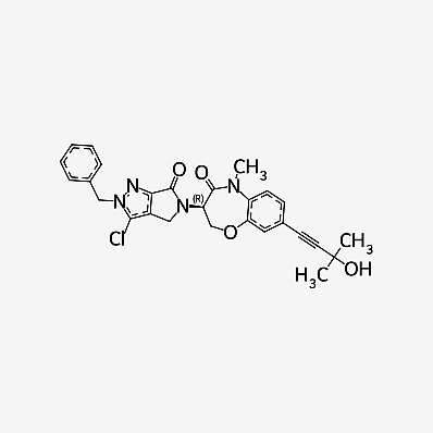 CN1C(=O)[C@H](N2Cc3c(nn(Cc4ccccc4)c3Cl)C2=O)COc2cc(C#CC(C)(C)O)ccc21